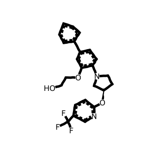 OCCOc1cc(-c2ccccc2)ccc1N1CC[C@@H](Oc2ccc(C(F)(F)F)cn2)C1